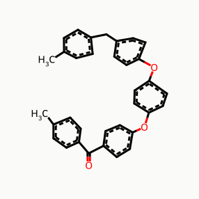 Cc1ccc(Cc2ccc(Oc3ccc(Oc4ccc(C(=O)c5ccc(C)cc5)cc4)cc3)cc2)cc1